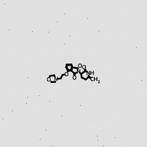 C=C1CCC(N2C(=O)c3cccc(OCCN4CCOCC4)c3C2=O)C(=O)N1